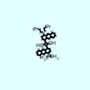 CC(C)CCN(CCC(C)C)c1ccc(C2C(O)C(c3ccc(N(C)C)c4cc5ccccc5cc34)C2O)c2cc3ccccc3cc12